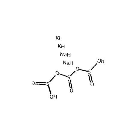 O=S(O)OS(=O)OS(=O)O.[KH].[KH].[NaH].[NaH]